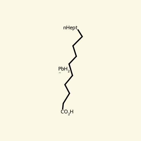 CCCCCCCCCCCCCCCC(=O)O.[PbH2]